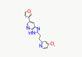 COc1ccnc(CCc2nc3cc(-c4ccoc4)cnc3[nH]2)c1